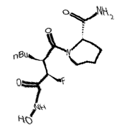 CCCC[C@@H](C(=O)N1CCC[C@H]1C(N)=O)[C@@H](F)C(=O)NO